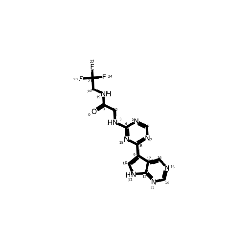 O=C(CNc1ncnc(-c2c[nH]c3ncncc23)n1)NCC(F)(F)F